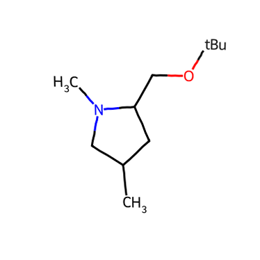 CC1CC(COC(C)(C)C)N(C)C1